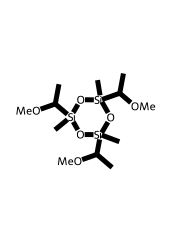 COC(C)[Si]1(C)O[Si](C)(C(C)OC)O[Si](C)(C(C)OC)O1